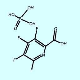 O=C(O)c1nc(F)c(F)c(F)c1F.O=P(O)(O)O